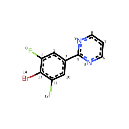 Fc1cc(-c2ncccn2)cc(F)c1Br